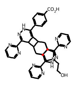 O=C(O)c1ccc(C2=C3C(C(c4ncccn4)=NN2)C2C4C5=C(c6ncccn6)NN=C(c6ncccn6)C5C(C5CN(CCO)CC54)C32)cc1